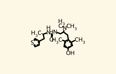 Cc1cc(O)cc(C)c1CC(CNC(=O)N[C@@H](C)Cc1ccsc1)N(C)C